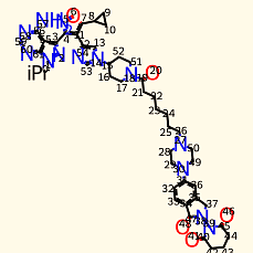 CC(C)n1nc(-c2noc(C3CC3)c2-c2cn(C3CCN(C(=O)CCCCCCN4CCN(c5ccc6c(c5)CN(N5C(=O)CCCC5=O)C6=O)CC4)CC3)cn2)c2c(N)ncnc21